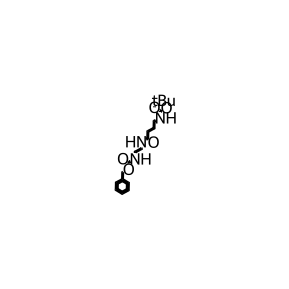 CC(C)(C)OC(=O)NCCCC(=O)NCCNC(=O)OCc1ccccc1